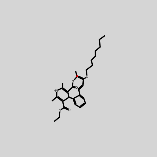 CCCCCCCCOC(=O)/C=C/c1ccccc1C1C(C(=O)OCC)=C(C)NC(C)=C1C(=O)OCC